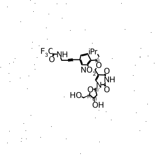 CC(C)C[C@H](OCc1cn([C@H]2C[C@@H](O)[C@@H](CO)O2)c(=O)[nH]c1=O)c1ccc(C#CCNC(=O)C(F)(F)F)cc1[N+](=O)[O-]